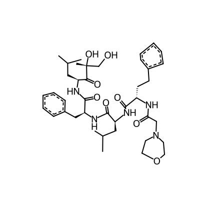 CC(C)C[C@H](NC(=O)[C@H](CCc1ccccc1)NC(=O)CN1CCOCC1)C(=O)N[C@@H](Cc1ccccc1)C(=O)N[C@@H](CC(C)C)C(=O)[C@](C)(O)CO